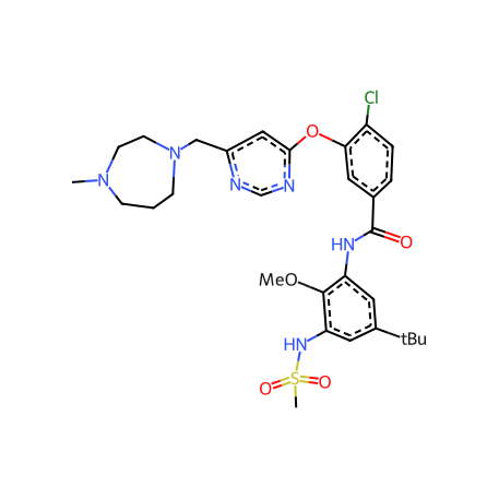 COc1c(NC(=O)c2ccc(Cl)c(Oc3cc(CN4CCCN(C)CC4)ncn3)c2)cc(C(C)(C)C)cc1NS(C)(=O)=O